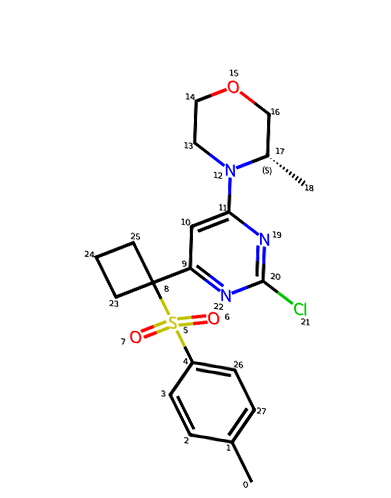 Cc1ccc(S(=O)(=O)C2(c3cc(N4CCOC[C@@H]4C)nc(Cl)n3)CCC2)cc1